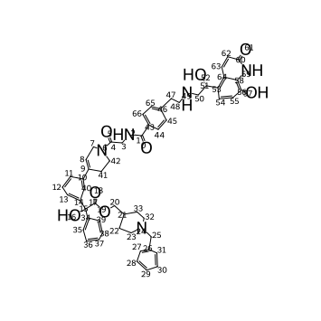 O=C(NCC(=O)N1CC=C(c2cccc(C(O)(C(=O)OCC3CCN(Cc4ccccc4)CC3)c3ccccc3)c2)CC1)c1ccc(CCNC[C@H](O)c2ccc(O)c3[nH]c(=O)ccc23)cc1